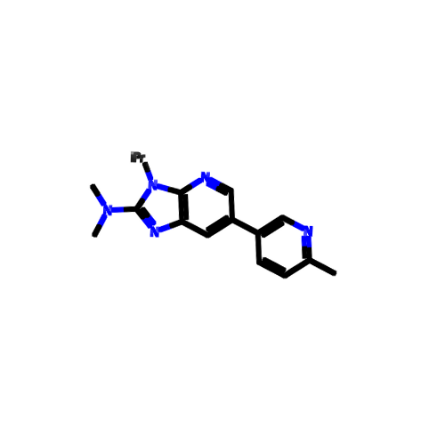 Cc1ccc(-c2cnc3c(c2)nc(N(C)C)n3C(C)C)cn1